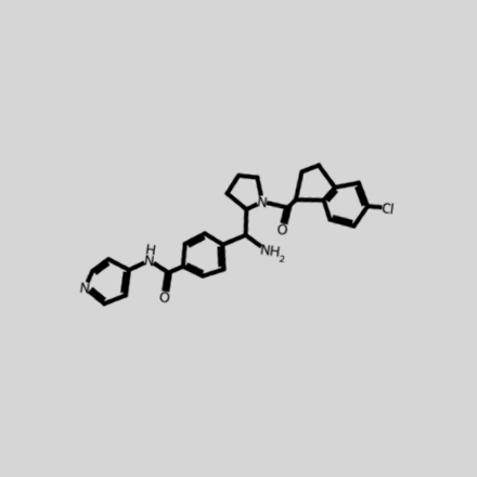 NC(c1ccc(C(=O)Nc2ccncc2)cc1)C1CCCN1C(=O)C1CCc2cc(Cl)ccc21